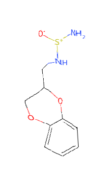 N[S+]([O-])NCC1COc2ccccc2O1